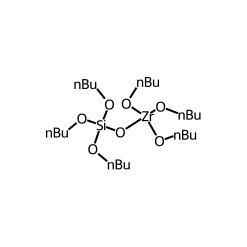 CCCCO[Si](OCCCC)(OCCCC)[O][Zr]([O]CCCC)([O]CCCC)[O]CCCC